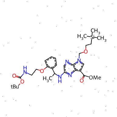 COC(=O)c1cn(COCC[Si](C)(C)C)c2ncc(NC(C)c3ccccc3OCCNC(=O)OC(C)(C)C)nc12